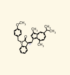 COc1ccc(CN2C(=O)/C(=C\c3cc(C)c4cc(C(C)C)ccc(C)c3-4)c3ccccc32)cc1